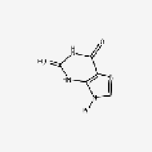 C=C1NC(=O)c2ncn(C(C)C)c2N1